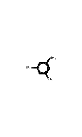 CC(C)(C)c1c[c]([AlH2])cc(C(C)(C)C)c1